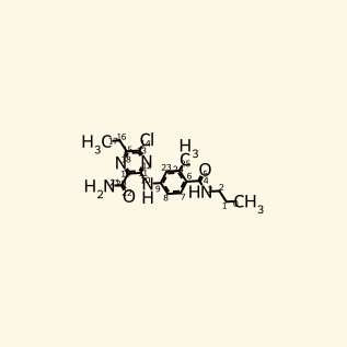 CCCNC(=O)c1ccc(Nc2nc(Cl)c(CC)nc2C(N)=O)cc1C